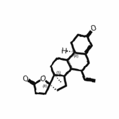 C=CC1CC2=CC(=O)CC[C@@H]2C2CC[C@@]3(C)C(CC[C@@]34CCC(=O)O4)C12